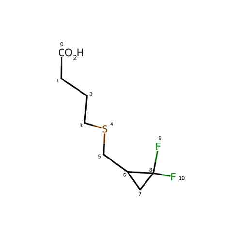 O=C(O)CCCSCC1CC1(F)F